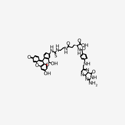 NC1=NC2N=CC(CNc3ccc(C(=O)N[C@@H](CCC(=O)NCCNC(=S)Nc4ccc(-c5c6ccc(=O)cc-6oc6cc(O)ccc56)c(C(=O)O)c4)C(=O)O)cc3)=NC2C(=O)N1